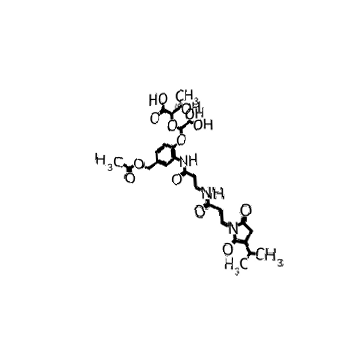 CC(=O)OCc1ccc(OC(OC(C(=O)O)[C@H](C)O)C(O)O)c(NC(=O)CCNC(=O)CCN2C(=O)CC(C(C)C)C2=O)c1